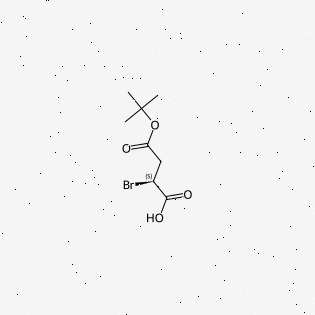 CC(C)(C)OC(=O)C[C@H](Br)C(=O)O